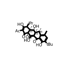 CC(=O)C1=C(O)C(C(C)C)[C@@]2(C)[C@H](O)[C@]3(C)C(=C(O)[C@@]2(O)C1=O)C(=O)c1c(O)c(C(C)(C)C)cc(C)c1[C@H]3C